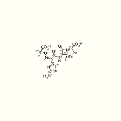 CC(C)(O/N=C(\C(=O)NC1C(=O)N2C(C(=O)O)CS[C@H]12)c1csc(N)n1)C(=O)O